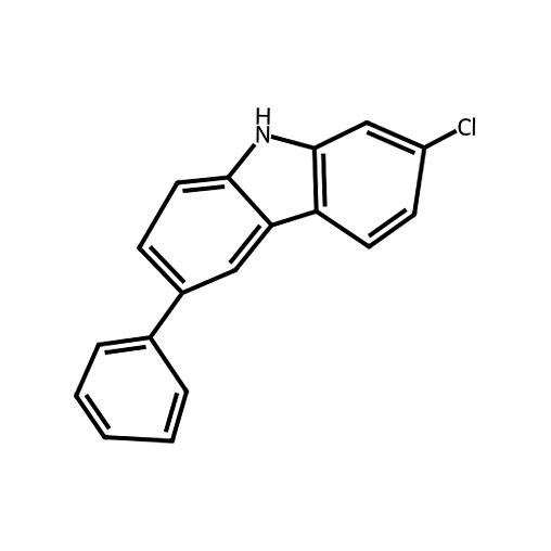 Clc1ccc2c(c1)[nH]c1ccc(-c3ccccc3)cc12